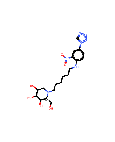 O=[N+]([O-])c1cc(-n2cnnn2)ccc1NCCCCCCN1CC(O)C(O)C(O)[C@@H]1CO